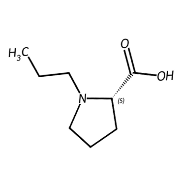 CCCN1CCC[C@H]1C(=O)O